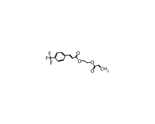 C=CC(=O)OCCOC(=O)C=Cc1ccc(C(F)(F)F)cc1